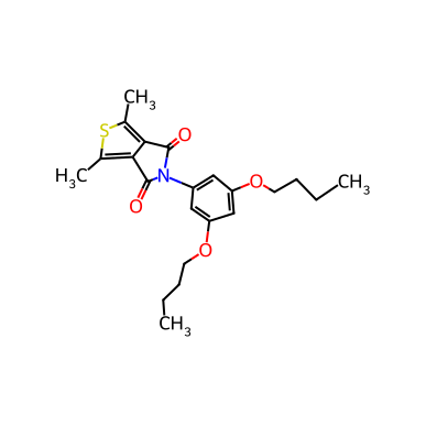 CCCCOc1cc(OCCCC)cc(N2C(=O)c3c(C)sc(C)c3C2=O)c1